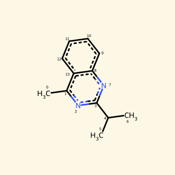 Cc1nc(C(C)C)nc2ccccc12